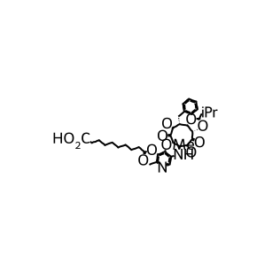 COc1c(N[C@H]2CC(=O)C(=O)[C@H](Cc3ccccc3)[C@H](OC(=O)C(C)C)[C@H](C)C(=O)C2=O)cnc(C)c1OC(=O)CCCCCCCCC(=O)O